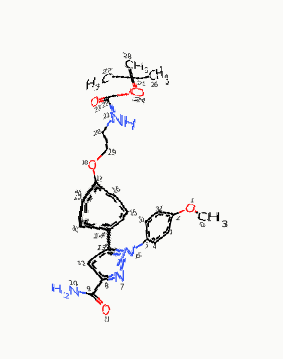 COc1ccc(-n2nc(C(N)=O)cc2-c2ccc(OCCNC(=O)OC(C)(C)C)cc2)cc1